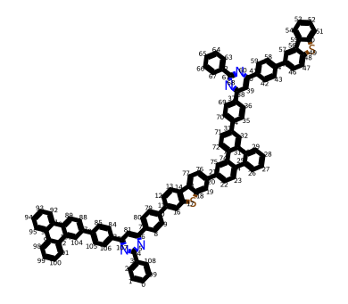 c1ccc(-c2nc(-c3ccc(-c4ccc5c(c4)sc4cc(-c6ccc7c8ccccc8c8cc(-c9ccc(-c%10cc(-c%11ccc(-c%12ccc%13sc%14ccccc%14c%13c%12)cc%11)nc(-c%11ccccc%11)n%10)cc9)ccc8c7c6)ccc45)cc3)cc(-c3ccc(-c4ccc5c6ccccc6c6ccccc6c5c4)cc3)n2)cc1